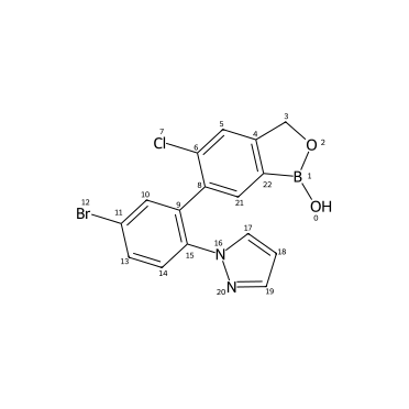 OB1OCc2cc(Cl)c(-c3cc(Br)ccc3-n3cccn3)cc21